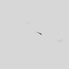 C=C(C)[C@H](CCSC)NC1=CCC1